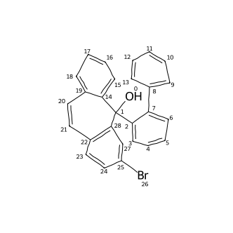 OC1(c2ccccc2-c2ccccc2)c2ccccc2C=Cc2ccc(Br)cc21